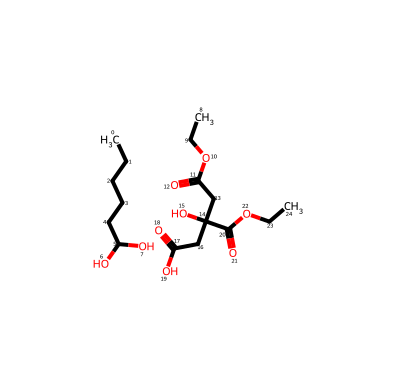 CCCCCC(O)O.CCOC(=O)CC(O)(CC(=O)O)C(=O)OCC